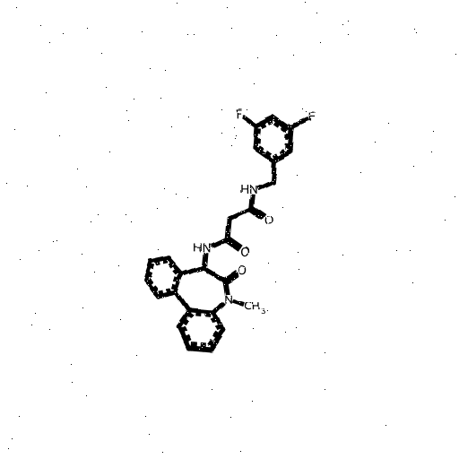 CN1C(=O)C(NC(=O)CC(=O)NCc2cc(F)cc(F)c2)c2ccccc2-c2ccccc21